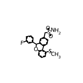 CSc1cccc2c1-c1ccc(CS(N)(=O)=O)cc1C(c1cccc(F)c1)O2